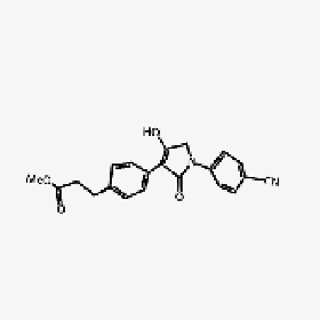 COC(=O)CCc1ccc(C2=C(O)CN(c3ccc(C#N)cc3)C2=O)cc1